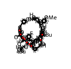 COc1ccc(C[C@@H]2NC(=O)[C@H]([C@@H](C)OC(C)(C)C)NC(=O)[C@@H]3[C@@H]4CCCN3C(=O)[C@@H]3Cc5cn(c6ccc(F)cc56)CCCCCCN(Cc5ccc(cc5)CCNC(=O)[C@]5(C)CCCN5C2=O)C(=O)CCC(=O)N[C@@H](C)C(=O)N[C@H](CNC(=O)OC(C)(C)C)C(=O)N[C@@H](Cc2cccc(c2)CNC(=O)CO4)C(=O)N3)cc1